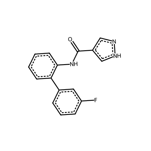 O=C(Nc1ccccc1-c1cccc(F)c1)c1cn[nH]c1